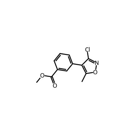 COC(=O)c1cccc(-c2c(Cl)noc2C)c1